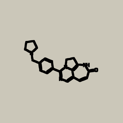 O=C1C=CC2=CN=C(c3ccc(CN4CCCC4)cc3)N3CCC(=C23)N1